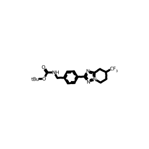 CC(C)(C)OC(=O)NCc1ccc(-c2nc3n(n2)CCC(C(F)(F)F)C3)cc1